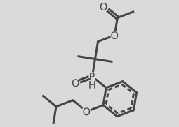 CC(=O)OCC(C)(C)[PH](=O)c1ccccc1OCC(C)C